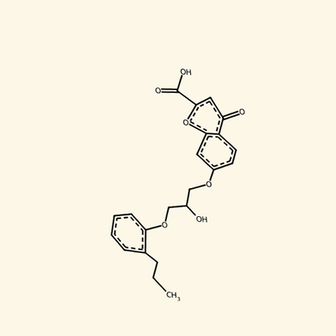 CCCc1ccccc1OCC(O)COc1ccc2c(=O)cc(C(=O)O)oc2c1